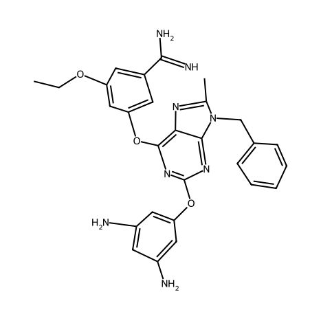 CCOc1cc(Oc2nc(Oc3cc(N)cc(N)c3)nc3c2nc(C)n3Cc2ccccc2)cc(C(=N)N)c1